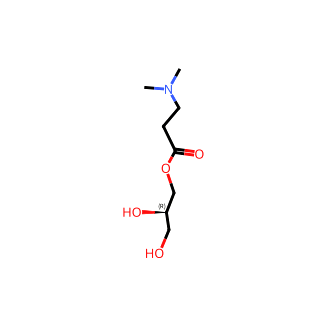 CN(C)CCC(=O)OC[C@H](O)CO